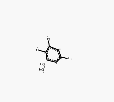 Cl.Cl.Fc1ccc(Cl)c(Cl)c1